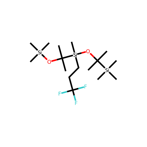 CC(C)(O[Si](C)(CCC(F)(F)F)C(C)(C)O[Si](C)(C)C)[Si](C)(C)C